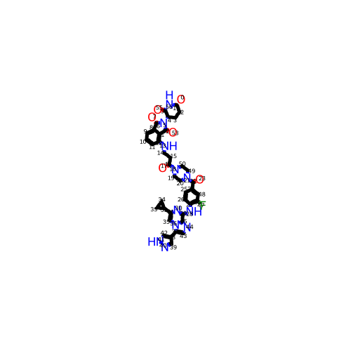 O=C1CCC(N2C(=O)c3cccc(NCCC(=O)N4CCN(C(=O)c5ccc(Nc6nc(C7CC7)cn7c(-c8cn[nH]c8)cnc67)c(F)c5)CC4)c3C2=O)C(=O)N1